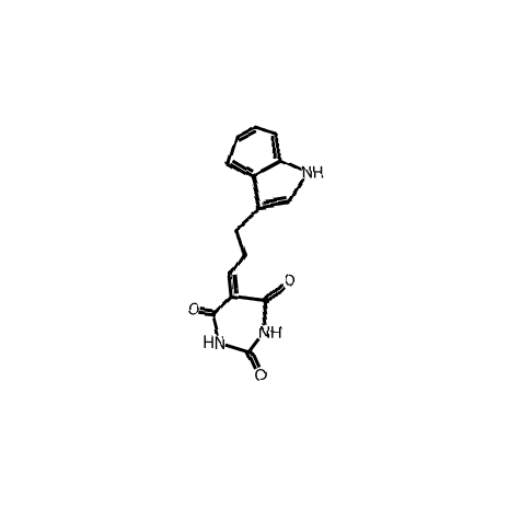 O=C1NC(=O)C(=CCCc2c[nH]c3ccccc23)C(=O)N1